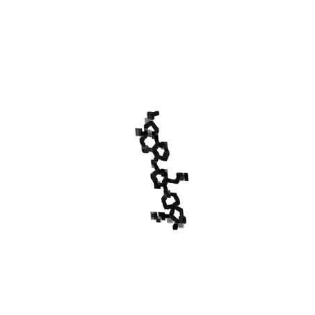 CO[C@H]1C[C@H]2COc3c(Sc4cnc(N5CCC6(CC5)CO[C@@H](C)[C@H]6N)c(CO)n4)ccnc3N2C1